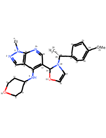 CCn1ncc2c(NC3CCOCC3)c(C3OC=CN3[C@H](C)c3ccc(OC)cc3)cnc21